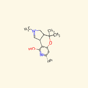 CCCc1cc2c(c(O)n1)C1C=[N+](C)CC1C(C)(C)O2